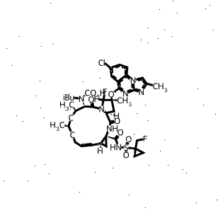 CCC(C)N(C(=O)O)[C@@H]1C(=O)N2[C@@H](C[C@@](C)(Oc3nc4nc(C)cn4c4ccc(Cl)cc34)C2(F)F)C(=O)N[C@]2(C(=O)NS(=O)(=O)C3(CF)CC3)C[C@H]2/C=C\CC[C@@H](C)C[C@H]1C